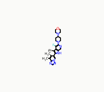 Cc1c(-c2[nH]c3cnc(N4CCC(N5CCOCC5)CC4)c(F)c3c2C(C)C)cn2ncnc2c1C